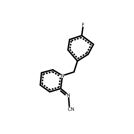 N#CN=c1ccccn1Cc1ccc(F)cc1